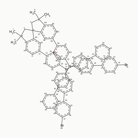 CC1(C)CC2(CC(C)(C)c3ccc(-c4ccc(N(c5ccc(-c6ccccc6)cc5)c5ccc(-c6ccc(Br)cc6)cc5)cc4)cc32)c2cc(-c3ccc(N(c4ccc(-c5ccccc5)cc4)c4ccc(-c5ccc(Br)cc5)cc4)cc3)ccc21